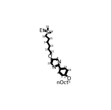 CCCCCCCCOc1ccc(-c2ncc(OCCCCCC[Si](C)(C)CC)cn2)cc1